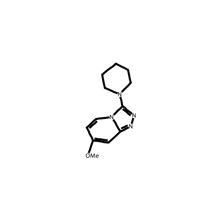 COc1ccn2c(N3CCCCC3)nnc2c1